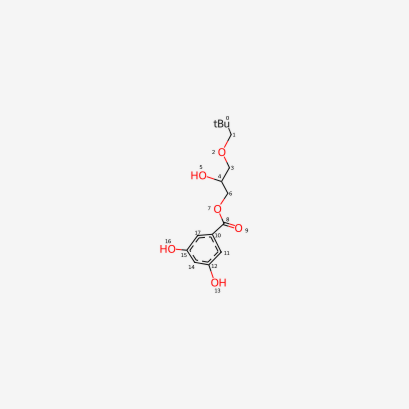 CC(C)(C)COCC(O)COC(=O)c1cc(O)cc(O)c1